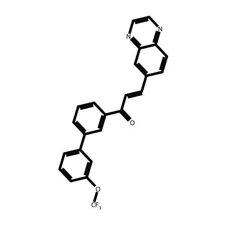 O=C(C=Cc1ccc2nccnc2c1)c1cccc(-c2cccc(OC(F)(F)F)c2)c1